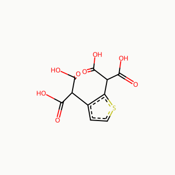 O=C(O)C(C(=O)O)c1ccsc1C(C(=O)O)C(=O)O